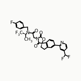 C[C@H](N(Cc1ccc(F)cc1)C(=O)CN1C(=O)O[C@@]2(CCc3cc(-c4cc(C(F)F)ccn4)ccc32)C1=O)C(F)(F)F